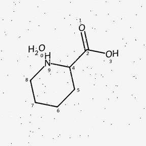 O.O=C(O)C1CCCCN1